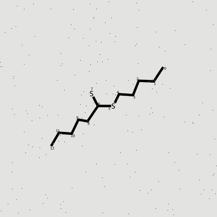 CCCCCSC([S])CCCCC